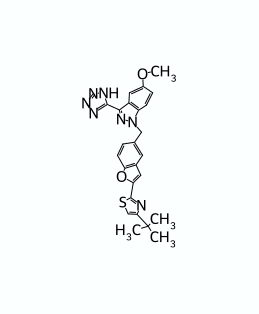 COc1ccc2c(c1)c(-c1nnn[nH]1)nn2Cc1ccc2oc(-c3nc(C(C)(C)C)cs3)cc2c1